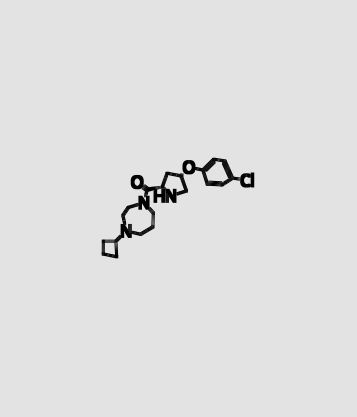 O=C([C@H]1C[C@H](Oc2ccc(Cl)cc2)CN1)N1CCCN(C2CCC2)CC1